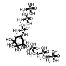 NP(=O)(O)O.NP(=O)(O)O.NP(=O)(O)O.NP(=O)(O)O.NP(=O)(O)O.NP(=O)(O)O.OC1(O)CCCC(O)(O)C1(O)O